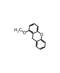 COc1cccc2c1[CH]c1ccccc1O2